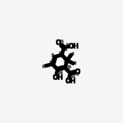 CC1=CC(C(=O)O)C(C)(C)C(C(=O)O)=C1O